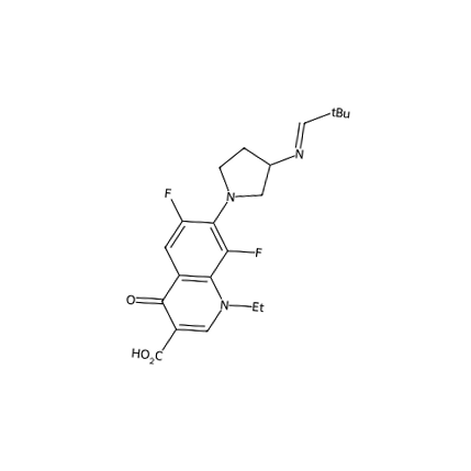 CCn1cc(C(=O)O)c(=O)c2cc(F)c(N3CCC(/N=C/C(C)(C)C)C3)c(F)c21